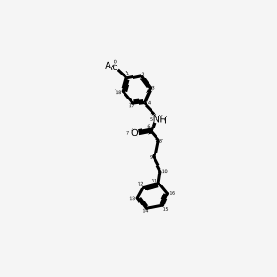 CC(=O)c1ccc(NC(=O)CCCc2ccccc2)cc1